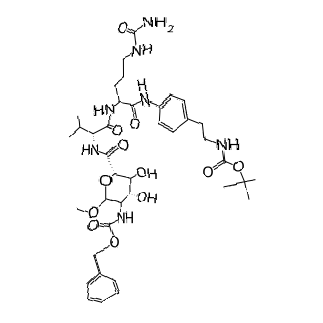 COC1O[C@H](C(=O)N[C@@H](C(=O)NC(CCCNC(N)=O)C(=O)Nc2ccc(CCNC(=O)OC(C)(C)C)cc2)C(C)C)C(O)[C@H](O)C1NC(=O)OCc1ccccc1